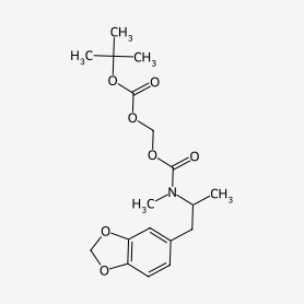 CC(Cc1ccc2c(c1)OCO2)N(C)C(=O)OCOC(=O)OC(C)(C)C